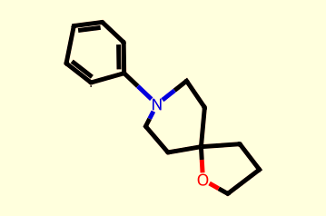 [c]1ccccc1N1CCC2(CCCO2)CC1